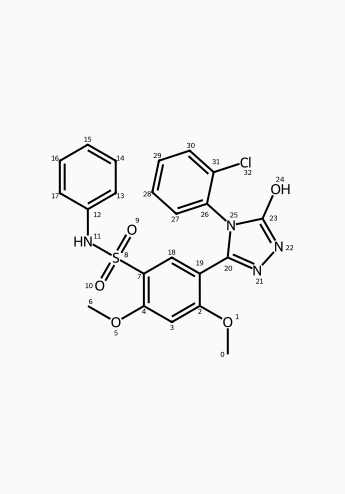 COc1cc(OC)c(S(=O)(=O)Nc2ccccc2)cc1-c1nnc(O)n1-c1ccccc1Cl